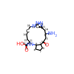 NC1CC(=O)C2CCCC2NC(C(=O)O)CCCCn2cc(nn2)C1